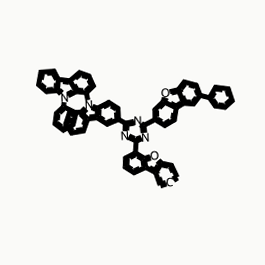 c1ccc(-c2ccc3oc4cc(-c5nc(-c6ccc7c(c6)c6ccccc6n7-c6cccc7c8ccccc8n(-c8ccccc8)c67)nc(-c6cccc7c6oc6ccccc67)n5)ccc4c3c2)cc1